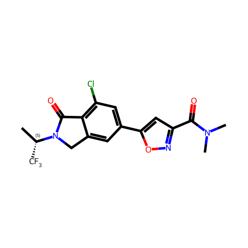 C[C@H](N1Cc2cc(-c3cc(C(=O)N(C)C)no3)cc(Cl)c2C1=O)C(F)(F)F